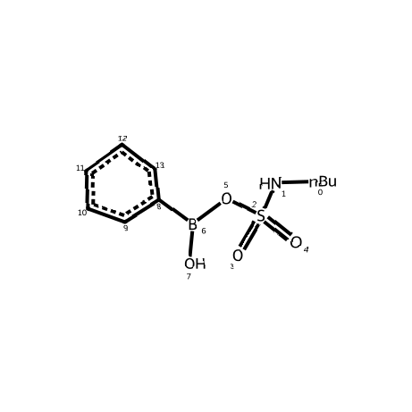 CCCCNS(=O)(=O)OB(O)c1ccccc1